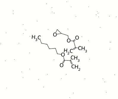 C=C(C)C(=O)OCC1CO1.C=C(C)C(=O)OCCCCCC